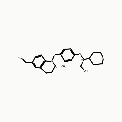 CCc1ccc2c(c1)CC[C@@H](C)N2Sc1ccc(O[C@H](CO)C2CCOCC2)cc1